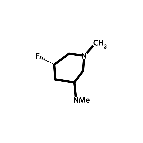 CNC1C[C@H](F)CN(C)C1